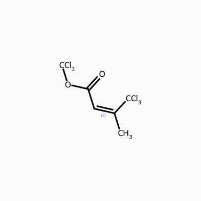 C/C(=C/C(=O)OC(Cl)(Cl)Cl)C(Cl)(Cl)Cl